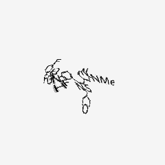 CNc1cc(-c2sc(C3CCOCC3)nc2-c2cccc(NS(=O)(=O)c3cc(F)ccc3F)c2F)ccn1